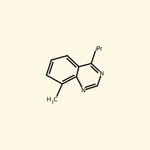 Cc1cccc2c(C(C)C)ncnc12